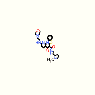 CN1CCCC1CCNC(=O)c1c(=O)c2ccc(NCCN3CCOCC3)nc2n2c1sc1ccccc12